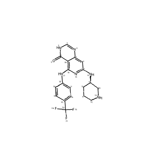 O=c1[nH]cnc2cc(N[C@@H]3CCCNC3)nc(Nc3ccc(C(F)(F)F)cc3)c12